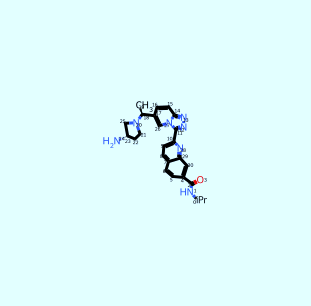 CC(C)NC(=O)c1ccc2ccc(-c3nnc4ccc([C@H](C)N5CC[C@H](N)C5)cn34)nc2c1